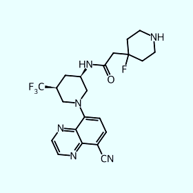 N#Cc1ccc(N2C[C@H](NC(=O)CC3(F)CCNCC3)C[C@H](C(F)(F)F)C2)c2nccnc12